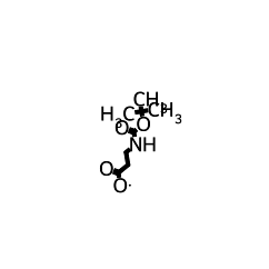 CC(C)(C)OC(=O)NCCC([O])=O